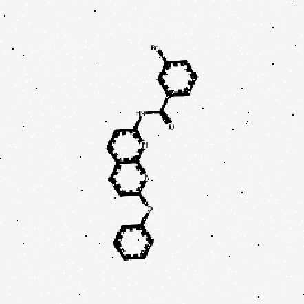 O=C(Nc1ccc2ccc(Oc3ccccc3)nc2n1)c1cccc(Br)c1